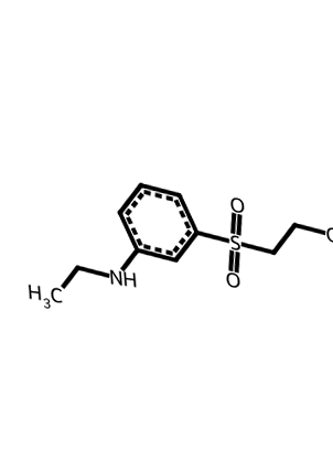 CCNc1cccc(S(=O)(=O)CC[O])c1